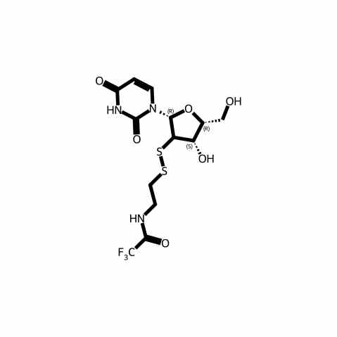 O=C(NCCSSC1[C@@H](O)[C@@H](CO)O[C@H]1n1ccc(=O)[nH]c1=O)C(F)(F)F